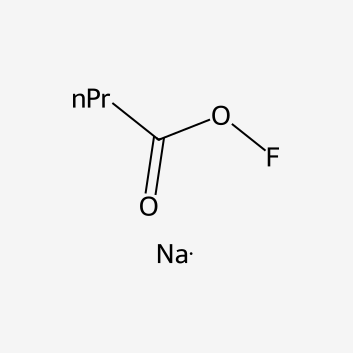 CCCC(=O)OF.[Na]